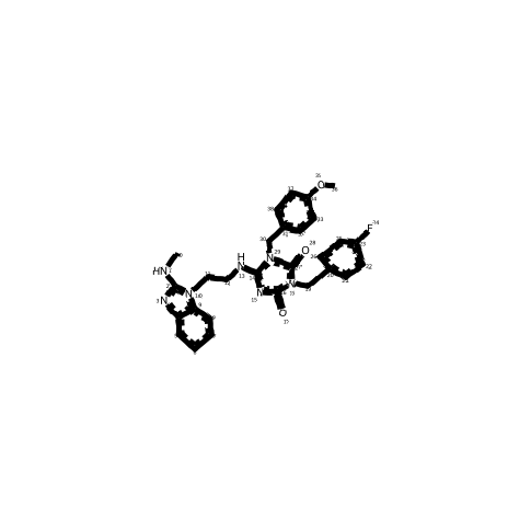 CNc1nc2ccccc2n1CCNc1nc(=O)n(Cc2ccc(F)cc2)c(=O)n1Cc1ccc(OC)cc1